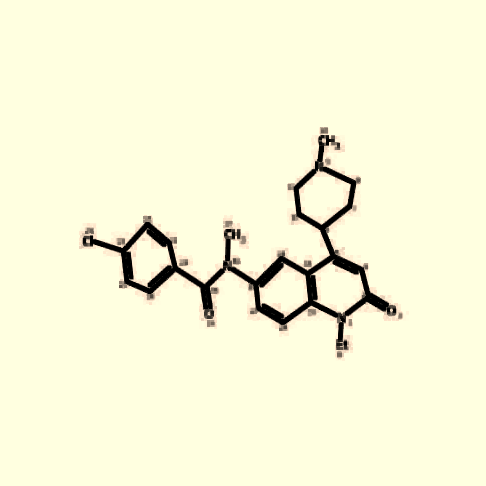 CCn1c(=O)cc(C2CCN(C)CC2)c2cc(N(C)C(=O)c3ccc(Cl)cc3)ccc21